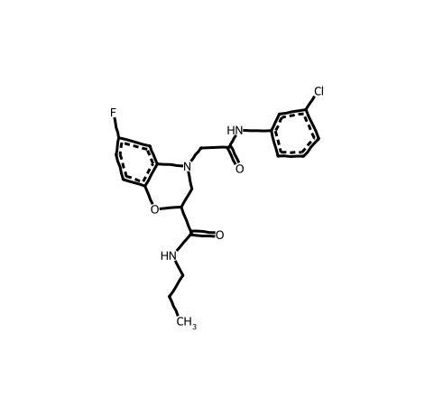 CCCNC(=O)C1CN(CC(=O)Nc2cccc(Cl)c2)c2cc(F)ccc2O1